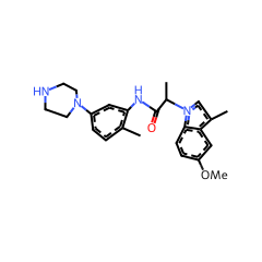 COc1ccc2c(c1)c(C)cn2C(C)C(=O)Nc1cc(N2CCNCC2)ccc1C